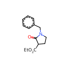 CCOC(=O)C1CCN(Cc2ccccc2)C1=O